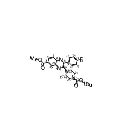 COC(=O)c1ccc2nc(-c3ccc(F)cc3)c(N3CCN(C(=O)OC(C)(C)C)C[C@@H]3C)nc2c1